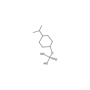 CC(C)C1CCC(OP(=O)(O)O)CC1